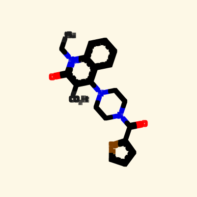 CCOC(=O)c1c(N2CCN(C(=O)c3cccs3)CC2)c2ccccc2n(CC(C)(C)C)c1=O